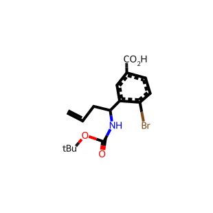 C=CCC(NC(=O)OC(C)(C)C)c1cc(C(=O)O)ccc1Br